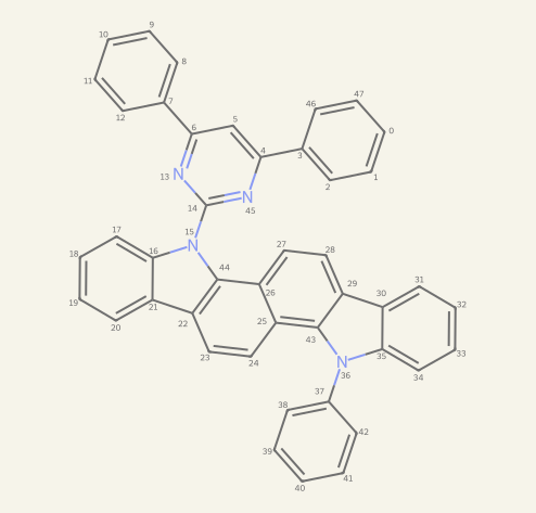 c1ccc(-c2cc(-c3ccccc3)nc(-n3c4ccccc4c4ccc5c(ccc6c7ccccc7n(-c7ccccc7)c65)c43)n2)cc1